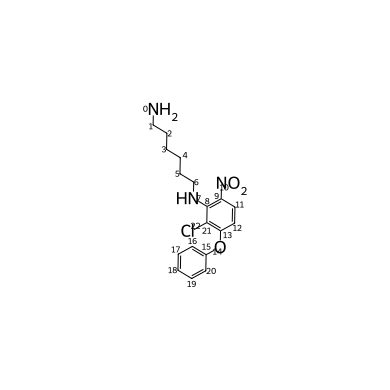 NCCCCCCNc1c([N+](=O)[O-])ccc(Oc2ccccc2)c1Cl